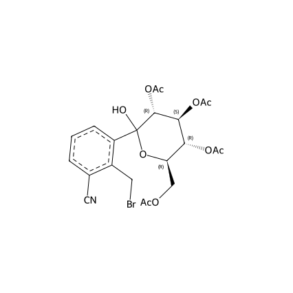 CC(=O)OC[C@H]1OC(O)(c2cccc(C#N)c2CBr)[C@H](OC(C)=O)[C@@H](OC(C)=O)[C@@H]1OC(C)=O